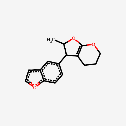 CC1OC2=C(CCCO2)C1c1ccc2occc2c1